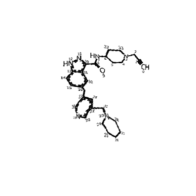 C#CCN1CCC(NC(=O)c2n[nH]c3ccc(-c4cncc(CN5CCCCC5)c4)cc23)CC1